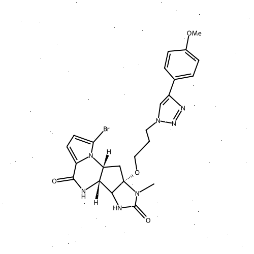 COc1ccc(-c2cn(CCCO[C@@]34C[C@@H]5[C@@H](NC(=O)c6ccc(Br)n65)C3NC(=O)N4C)nn2)cc1